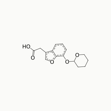 O=C(O)Cc1coc2c(OC3CCCCO3)cccc12